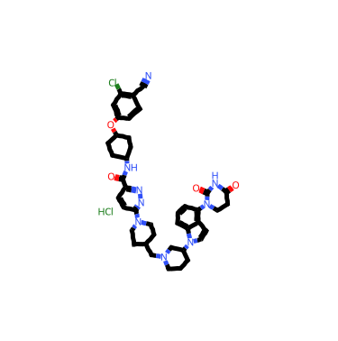 Cl.N#Cc1ccc(OC2CCC(NC(=O)c3ccc(N4CCC(CN5CCCC(n6ccc7c(N8CCC(=O)NC8=O)cccc76)C5)CC4)nn3)CC2)cc1Cl